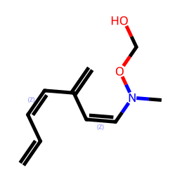 C=C/C=C\C(=C)/C=C\N(C)OCO